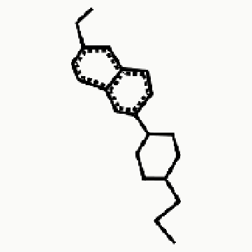 CCCC1CCC(c2ccc3cc(CC)ccc3c2)CC1